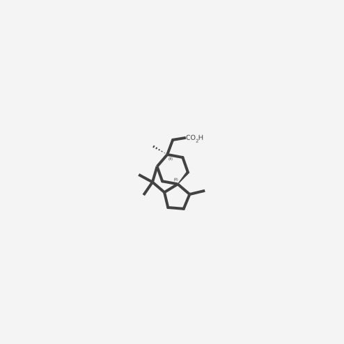 CC1CCC2C(C)(C)C3C[C@]12CC[C@]3(C)CC(=O)O